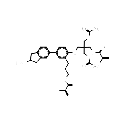 C=C(C)C(=O)OCCCc1cc(-c2ccc3c(c2)CC(CCCCCC)C3)ccc1OCC(COC(=O)C(=C)C)(COC(=O)C(C)=O)COC(=O)C(C)=O